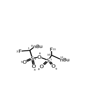 CCCCC(F)S(=O)(=O)OS(=O)(=O)C(F)CCCC